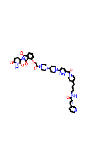 O=C(/C=C/c1cccnc1)NCCCCC1CCN(C(=O)c2ccc(N3CCC(N4CCN(C(=O)COc5cccc6c5C(=O)N(C5CCC(=O)NC5=O)C6=O)CC4)CC3)nn2)CC1